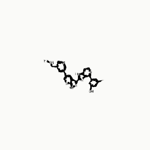 CCNCc1cncc(-c2cnc3[nH]nc(-c4nc5c(-c6cc(O)cc(F)c6)nccc5[nH]4)c3c2)c1